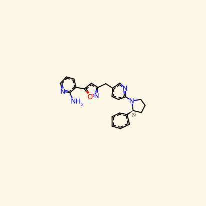 Nc1ncccc1-c1cc(Cc2ccc(N3CCC[C@H]3c3ccccc3)nc2)no1